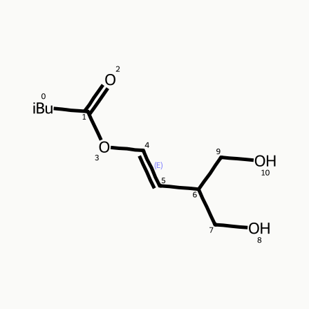 CCC(C)C(=O)O/C=C/C(CO)CO